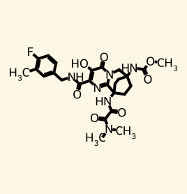 COC(=O)NC12CCC(NC(=O)C(=O)N(C)C)(CC1)c1nc(C(=O)NCc3ccc(F)c(C)c3)c(O)c(=O)n1C2